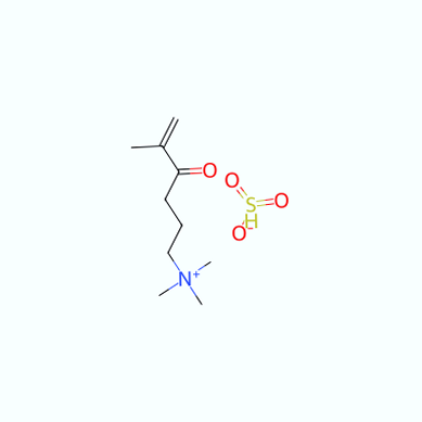 C=C(C)C(=O)CCC[N+](C)(C)C.O=[SH](=O)[O-]